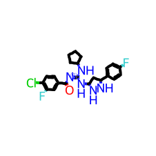 O=C(/N=C(/NC1CCCC1)NC1CC(c2ccc(F)cc2)NN1)c1ccc(Cl)c(F)c1